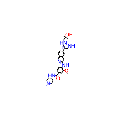 COc1cc(C(=O)NC2CCN(C)CC2)ccc1Nc1cc2cc(/C(C=N)=C/NCC(C)(C)O)ccc2cn1